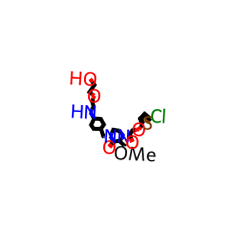 COCC1C(=O)N(CC2CCC(NCCOCCO)CC2)CCN1C(=O)COc1ccc(Cl)s1